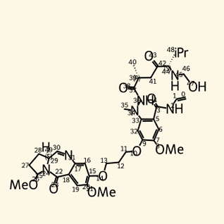 C=CNC(=O)c1cc(OC)c(OCCCOc2cc3c(cc2OC)C(=O)N2C(OC)CC[C@H]2C=N3)cc1N(C)NC(=O)[C@H](C)CC(=O)[C@@H](NCO)C(C)C